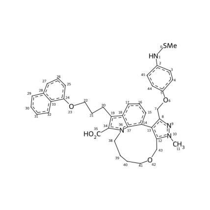 CSNc1ccc(OCc2nn(C)c3c2-c2cccc4c(CCCOc5cccc6ccccc56)c(C(=O)O)n(c24)CCCCOC3)cc1